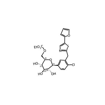 CCOC(=O)OC[C@H]1O[C@@H](c2ccc(Cl)c(Cc3ncc(-c4ccco4)s3)c2)[C@H](O)[C@@H](O)[C@@H]1O